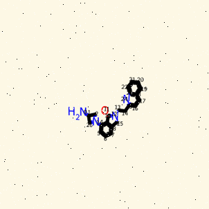 NC1CN(c2cccc3c2C(=O)N(CCc2ccc4ccccc4n2)C3)C1